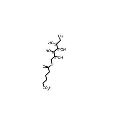 O=C(O)CCCCC(=O)OC[C@H](O)[C@@H](O)[C@H](O)[C@H](O)CO